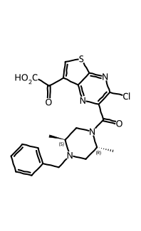 C[C@@H]1CN(Cc2ccccc2)[C@@H](C)CN1C(=O)c1nc2c(C(=O)C(=O)O)csc2nc1Cl